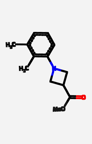 COC(=O)C1CN(c2cccc(C)c2C)C1